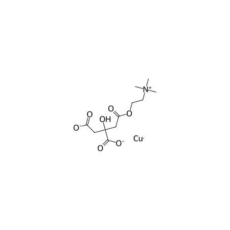 C[N+](C)(C)CCOC(=O)CC(O)(CC(=O)[O-])C(=O)[O-].[Cu]